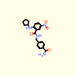 NC(=O)c1ccc(CNC(=O)c2cc([N+](=O)[O-])ccc2NC2CCCC2)cc1